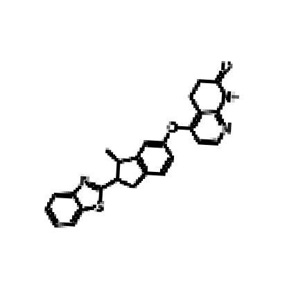 CC1c2cc(Oc3ccnc4c3CCC(=O)N4)ccc2CC1c1nc2ccccc2s1